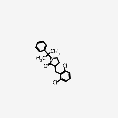 CC(C)(c1ccccc1)N1CCC(Cc2c(Cl)cccc2Cl)C1=O